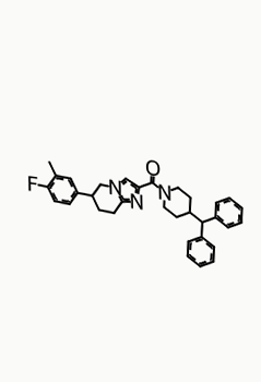 Cc1cc(C2CCc3nc(C(=O)N4CCC(C(c5ccccc5)c5ccccc5)CC4)cn3C2)ccc1F